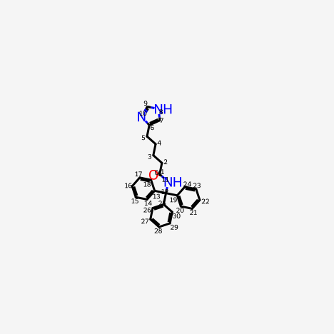 O=C(CCCCc1c[nH]cn1)NC(c1ccccc1)(c1ccccc1)c1ccccc1